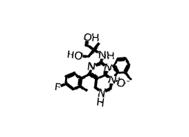 Cc1cc(F)ccc1-c1nc(NC(C)(CO)CO)nc2c1CNC[N+]2([O-])c1ccccc1C